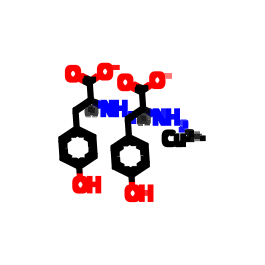 N[C@@H](Cc1ccc(O)cc1)C(=O)[O-].N[C@@H](Cc1ccc(O)cc1)C(=O)[O-].[Cu+2]